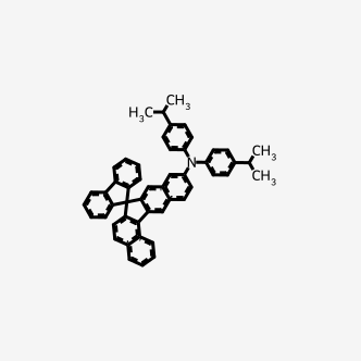 CC(C)c1ccc(N(c2ccc(C(C)C)cc2)c2ccc3cc4c(cc3c2)C2(c3ccccc3-c3ccccc32)c2ccc3ccccc3c2-4)cc1